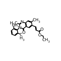 CCOC(=O)/C=C/c1cc2c(=O)n(-c3c(C)cccc3C)c(C)nc2cc1C